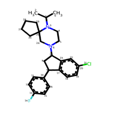 CC(C)N1CCN(C2CC(c3ccc(F)cc3)c3ccc(Cl)cc32)CC12CCCC2